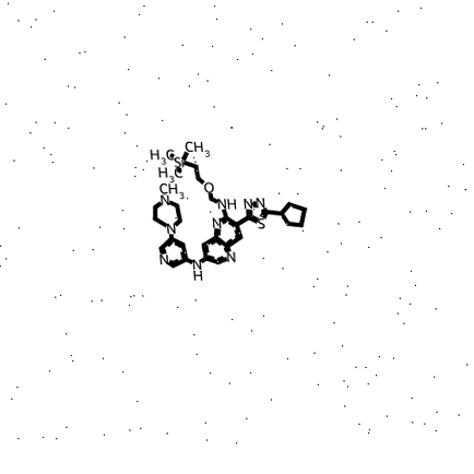 CN1CCN(c2cncc(Nc3cnc4cc(-c5nnc(C6CCCC6)s5)c(NCOCC[Si](C)(C)C)nc4c3)c2)CC1